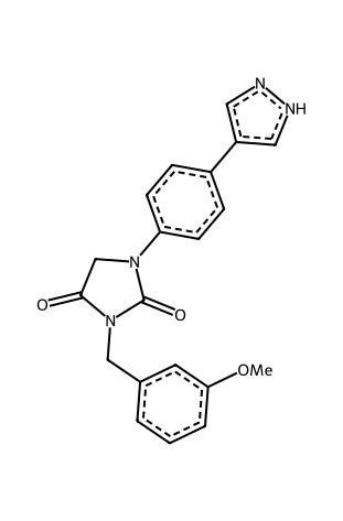 COc1cccc(CN2C(=O)CN(c3ccc(-c4cn[nH]c4)cc3)C2=O)c1